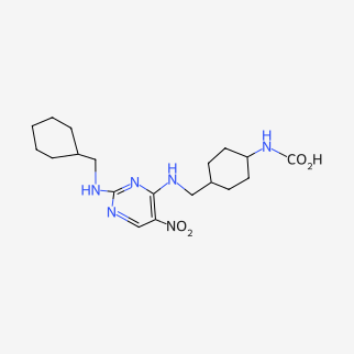 O=C(O)NC1CCC(CNc2nc(NCC3CCCCC3)ncc2[N+](=O)[O-])CC1